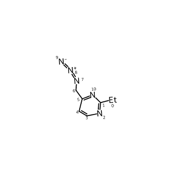 CCc1nccc(CN=[N+]=[N-])n1